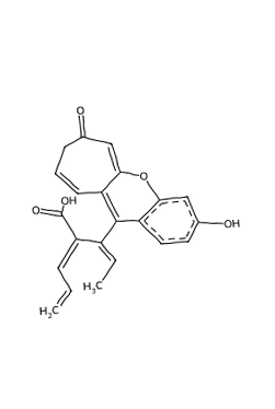 C=C/C=C(C(=O)O)\C(=C/C)C1=C2C=CCC(=O)C=C2Oc2cc(O)ccc21